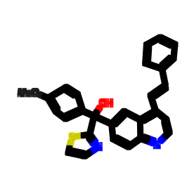 COc1ccc(C(O)(c2ccc3nccc(C=Cc4ccccc4)c3c2)c2nccs2)cc1